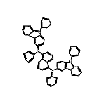 C1=CCCC(n2c3ccccc3c3cc(N(c4ccccc4)c4cccc5c(N(c6ccccc6)c6ccc7c(c6)C6C=CC=CC6N7c6ccccc6)cccc45)ccc32)=C1